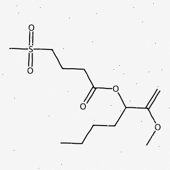 C=C(OC)C(CCCC)OC(=O)CCCS(C)(=O)=O